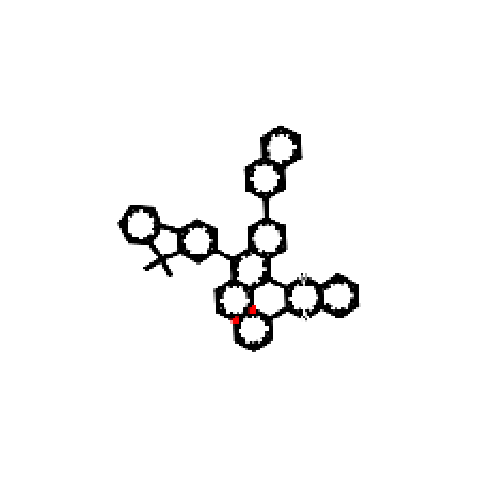 CC1(C)c2ccccc2-c2ccc(-c3c4ccccc4c(-c4nc5ccccc5nc4-c4ccccc4)c4ccc(-c5ccc6ccccc6c5)cc34)cc21